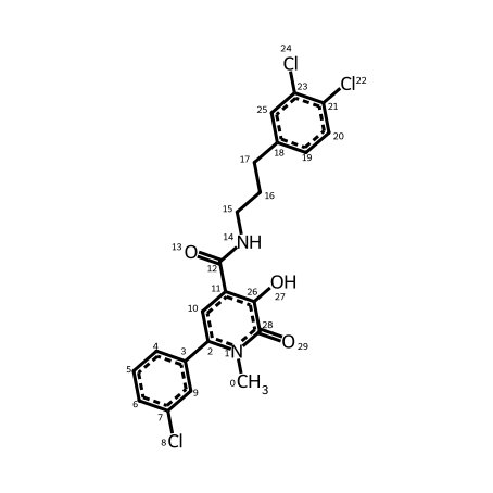 Cn1c(-c2cccc(Cl)c2)cc(C(=O)NCCCc2ccc(Cl)c(Cl)c2)c(O)c1=O